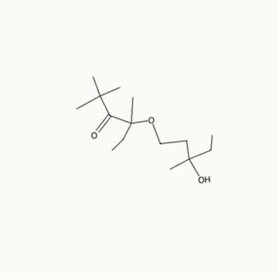 CCC(C)(O)CCOC(C)(CC)C(=O)C(C)(C)C